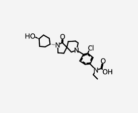 CCN(C(=O)O)c1ccc(N2CCCC3(CCN([C@H]4CC[C@H](O)CC4)C3=O)C2)c(Cl)c1